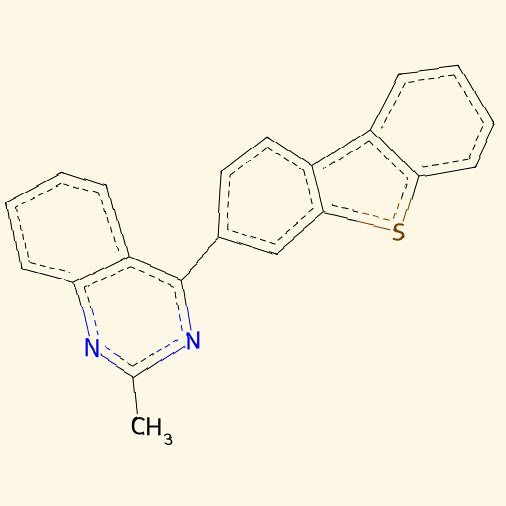 Cc1nc(-c2ccc3c(c2)sc2ccccc23)c2ccccc2n1